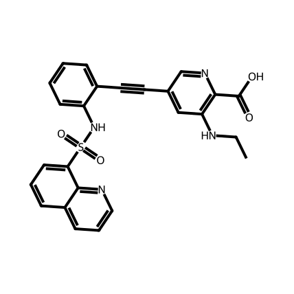 CCNc1cc(C#Cc2ccccc2NS(=O)(=O)c2cccc3cccnc23)cnc1C(=O)O